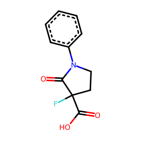 O=C(O)C1(F)CCN(c2ccccc2)C1=O